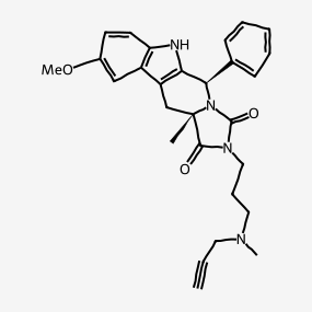 C#CCN(C)CCCN1C(=O)N2[C@H](c3ccccc3)c3[nH]c4ccc(OC)cc4c3C[C@@]2(C)C1=O